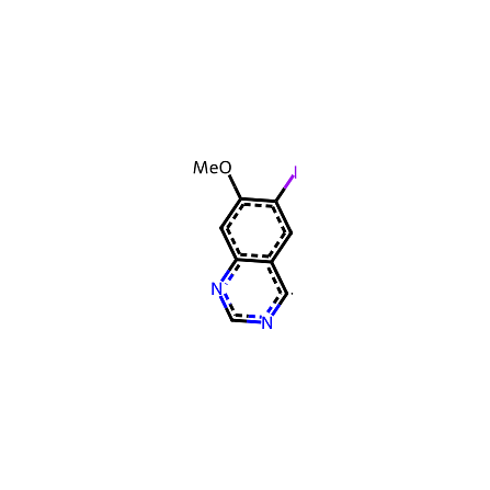 COc1cc2ncn[c]c2cc1I